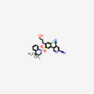 CC1(C)CCN(S(=O)(=O)c2cc(-c3cnc(C#N)cc3C#N)c(Cl)cc2CCCO)c2ccccc21